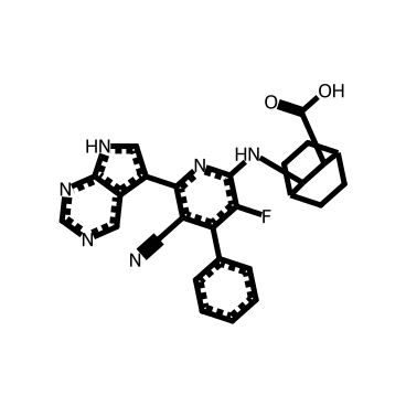 N#Cc1c(-c2c[nH]c3ncncc23)nc(NC2C3CCC(CC3)C2C(=O)O)c(F)c1-c1ccccc1